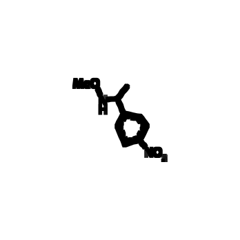 CONC(C)c1ccc([N+](=O)[O-])cc1